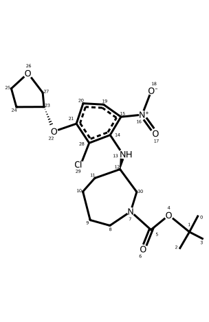 CC(C)(C)OC(=O)N1CCCC[C@@H](Nc2c([N+](=O)[O-])ccc(O[C@@H]3CCOC3)c2Cl)C1